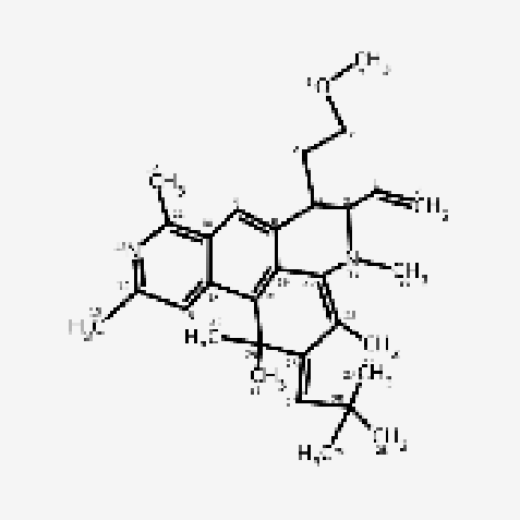 C=CC1C(CCOC)c2cc3c(C)nc(C)cc3c3c2C(=C(C)/C(=C\C(C)(C)C)C3(C)C)N1C